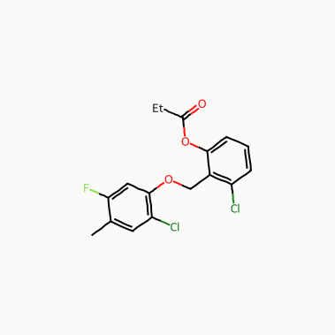 CCC(=O)Oc1cccc(Cl)c1COc1cc(F)c(C)cc1Cl